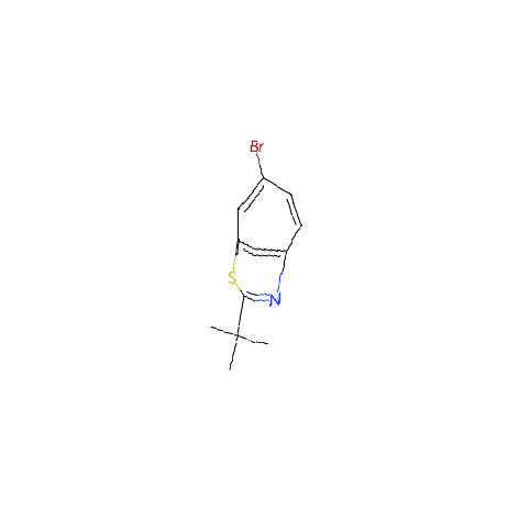 CC(C)(C)c1nc2ccc(Br)cc2s1